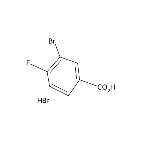 Br.O=C(O)c1ccc(F)c(Br)c1